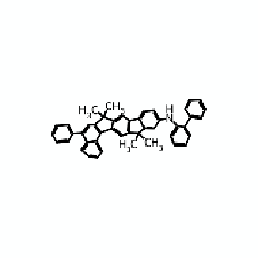 CC1(C)c2cc(Nc3ccccc3-c3ccccc3)ccc2-c2cc3c(cc21)-c1c(cc(-c2ccccc2)c2ccccc12)C3(C)C